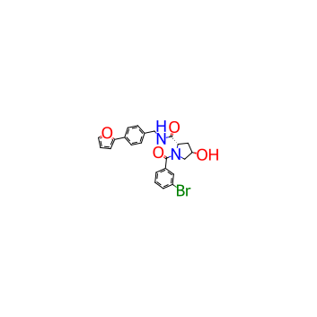 O=C(NCc1ccc(-c2ccco2)cc1)[C@@H]1C[C@@H](O)CN1C(=O)c1cccc(Br)c1